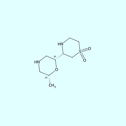 C[C@@H]1CNC[C@H](C2CS(=O)(=O)CCN2)O1